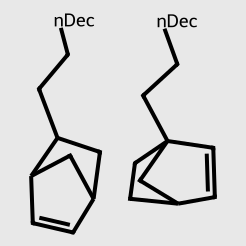 CCCCCCCCCCCCC12C=CC(CC1)C2.CCCCCCCCCCCCC1CC2C=CC1C2